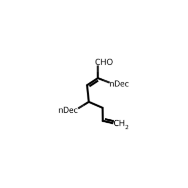 C=CCC(/C=C(/C=O)CCCCCCCCCC)CCCCCCCCCC